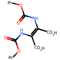 CC(C)OC(=O)NC(C(=O)O)=C(NC(=O)OC(C)C)C(=O)O